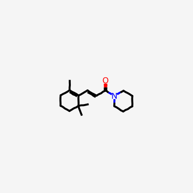 CC1=C(C=CC(=O)N2CCCCC2)C(C)(C)CCC1